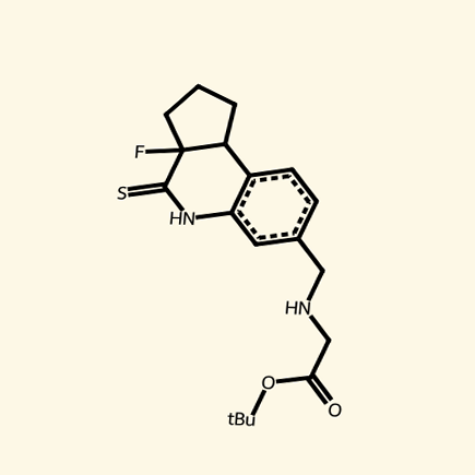 CC(C)(C)OC(=O)CNCc1ccc2c(c1)NC(=S)C1(F)CCCC21